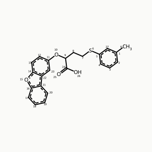 Cc1cccc(SCCC(Oc2ccc3oc4ccccc4c3c2)C(=O)O)c1